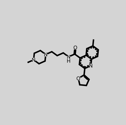 Cc1ccc2nc(C3=CCCO3)cc(C(=O)NCCCN3CCN(C)CC3)c2c1